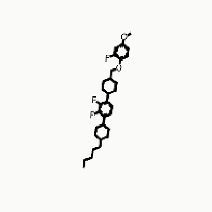 CCCCCC1CCC(c2ccc(C3CCC(COc4ccc(OC)cc4F)CC3)c(F)c2F)CC1